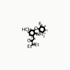 CCN(CC)C(=O)Cc1cccc(Oc2ccccc2F)c1N.Cl